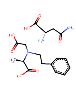 C[C@H](C(=O)O)N(CCc1ccccc1)CC(=O)O.NC(=O)C[C@H](N)C(=O)O